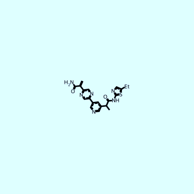 C=C(C(N)=O)c1cnc(-c2cncc(C(C)C(=O)Nc3ncc(CC)s3)c2)cn1